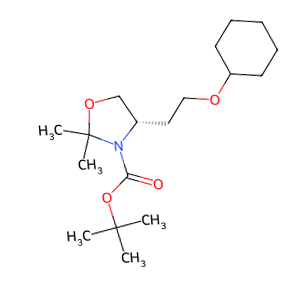 CC(C)(C)OC(=O)N1[C@@H](CCOC2CCCCC2)COC1(C)C